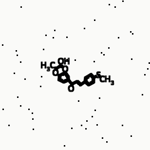 CSc1ccc(C=CC(=O)c2ccc(OC(C)C(=O)O)cc2)cc1